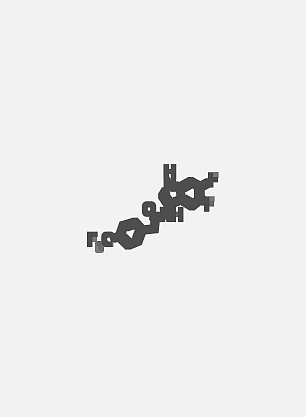 O=C(Cc1ccc(C(F)(F)F)cc1)Nc1c[nH]c2cc(F)c(F)cc12